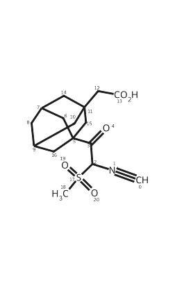 C#[N+]C(C(=O)C12CC3CC(CC(CC(=O)O)(C3)C1)C2)S(C)(=O)=O